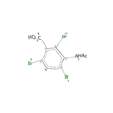 CC(=O)Nc1c(Br)cc(Br)c(C(=O)O)c1Br